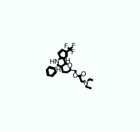 CCN(CC)CC(=O)OC[C@H]1CC[C@@H]2[C@H](O1)c1cc(C(F)(F)F)ccc1N[C@H]2c1ccccc1